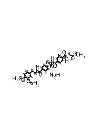 COC(=O)CNC(=O)c1ccc(C(=O)NS(=O)(=O)c2ccc(C(=O)NCCc3ccc(OC)c(OC)c3)cc2)cn1.[NaH]